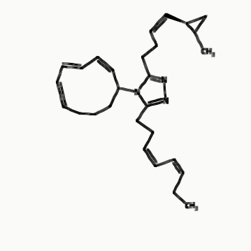 CC/C=C\C=C/CCc1nnc(CC/C=C\[C@H]2CC2C)n1C1\C=C/C=C/C=C\CCC1